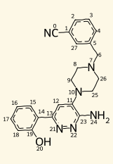 N#Cc1cccc(CN2CCN(c3cc(-c4ccccc4O)nnc3N)CC2)c1